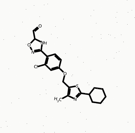 Cc1nc(C2CCCCC2)sc1COc1ccc(C2=NOC(C=O)N2)c(Cl)c1